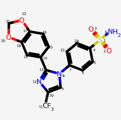 NS(=O)(=O)c1ccc(-n2cc(C(F)(F)F)nc2-c2ccc3c(c2)OCO3)cc1